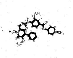 COc1cc(C(=O)NC2CCN(C)CC2)ccc1Nc1ncc2c(n1)c(-c1ccccc1)c(OC)c(=O)n2C